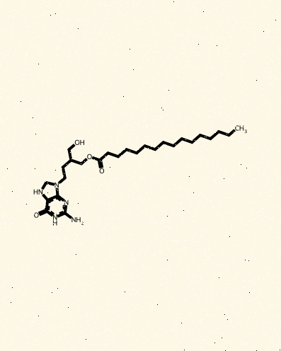 CCCCCCCCCCCCCCCC(=O)OCC(CO)CCN1CNc2c1nc(N)[nH]c2=O